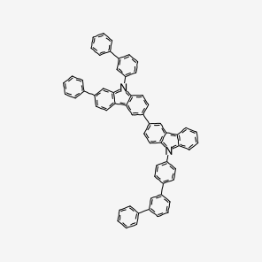 c1ccc(-c2cccc(-c3ccc(-n4c5ccccc5c5cc(-c6ccc7c(c6)c6ccc(-c8ccccc8)cc6n7-c6cccc(-c7ccccc7)c6)ccc54)cc3)c2)cc1